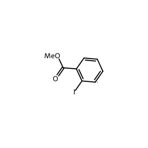 COC(=O)c1ccc[c]c1I